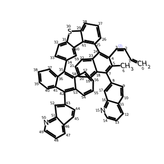 C=C/C=C\c1c(C)c(-c2ccc3cccnc3c2)c2ccccc2c1-c1cccc2sc3ccc(-c4c5ccccc5c(-c5ccc6cccnc6c5)c5ccccc45)cc3c12